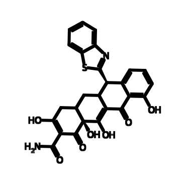 NC(=O)C1=C(O)CC2CC3C(=C(O)[C@]2(O)C1=O)C(=O)c1c(O)cccc1[C@@H]3c1nc2ccccc2s1